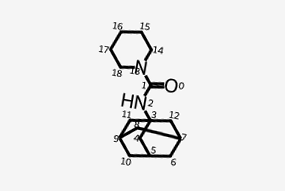 O=C(NC12CC3CC(CC(C3)C1)C2)N1CCCCC1